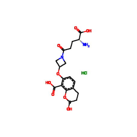 Cl.N[C@H](CCC(=O)N1CC(Oc2ccc3c(c2C(=O)O)OB(O)CC3)C1)C(=O)O